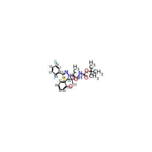 CC(=O)N1N=C(c2cc(F)ccc2F)S[C@@]12c1ccccc1OC[C@H]2CCNC(=O)OC(C)(C)C